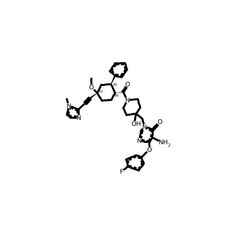 CO[C@@]1(C#Cc2nccn2C)CC[C@@H](C(=O)N2CCC(O)(Cn3cnc(Oc4ccc(F)cc4)c(N)c3=O)CC2)[C@H](c2ccccc2)C1